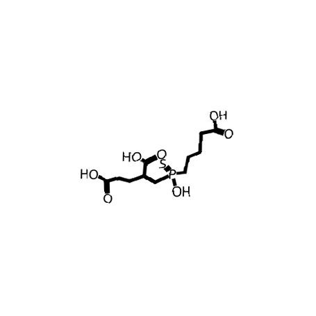 O=C(O)CCCCP(O)(=S)CC(CCC(=O)O)C(=O)O